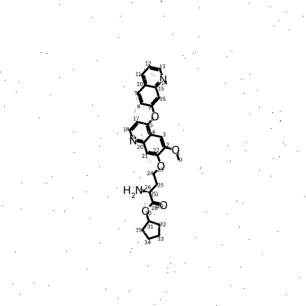 COc1cc2c(Oc3ccc4cccnc4c3)ccnc2cc1OCC[C@H](N)C(=O)OC1CCCC1